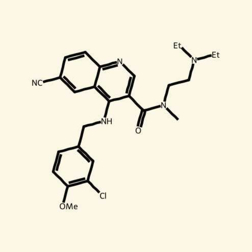 CCN(CC)CCN(C)C(=O)c1cnc2ccc(C#N)cc2c1NCc1ccc(OC)c(Cl)c1